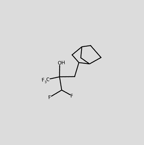 OC(CC1CC2CCC1C2)(C(F)F)C(F)(F)F